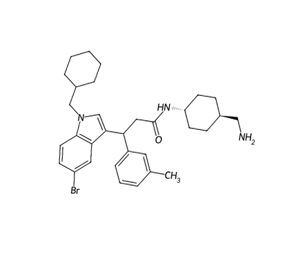 Cc1cccc(C(CC(=O)N[C@H]2CC[C@H](CN)CC2)c2cn(CC3CCCCC3)c3ccc(Br)cc23)c1